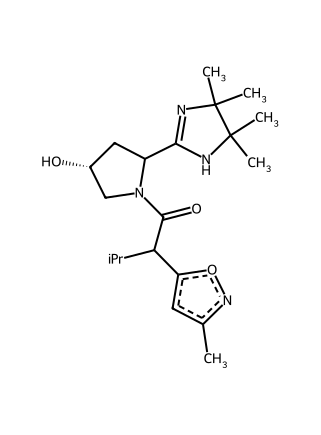 Cc1cc(C(C(=O)N2C[C@H](O)CC2C2=NC(C)(C)C(C)(C)N2)C(C)C)on1